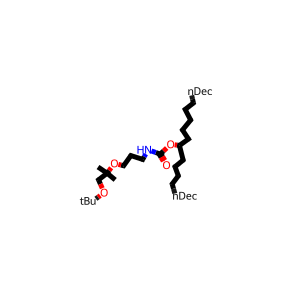 CCCCCCCCCCCCCCCC(CCCCCCCCCCCCCC)OC(=O)NCCCOC(C)(C)COC(C)(C)C